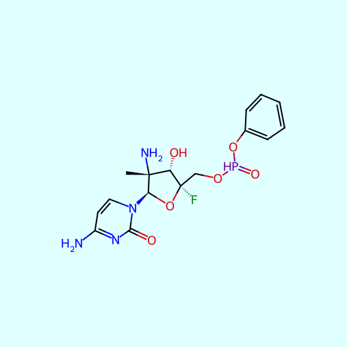 C[C@]1(N)[C@H](n2ccc(N)nc2=O)O[C@](F)(CO[PH](=O)Oc2ccccc2)[C@H]1O